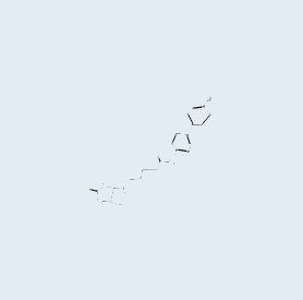 CC(C)c1ccc(-c2ccc(NC(=O)CCCCC3SCC4NC(=O)NC43)cc2)cc1